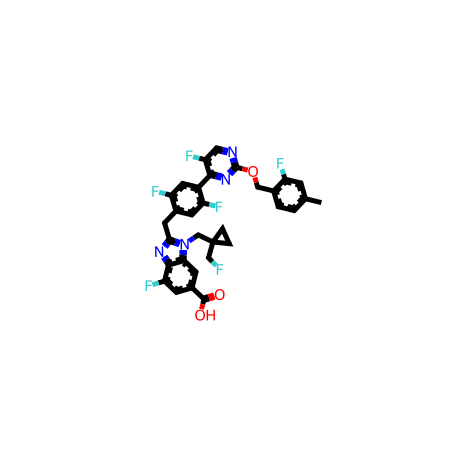 Cc1ccc(COc2ncc(F)c(-c3cc(F)c(Cc4nc5c(F)cc(C(=O)O)cc5n4CC4(CF)CC4)cc3F)n2)c(F)c1